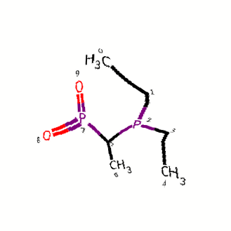 CCP(CC)C(C)P(=O)=O